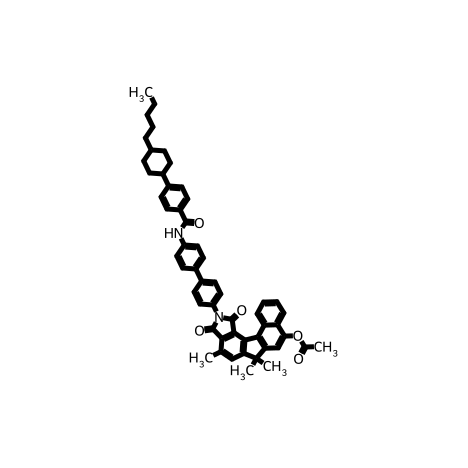 CCCCCC1CCC(c2ccc(C(=O)Nc3ccc(-c4ccc(N5C(=O)c6c(C)cc7c(c6C5=O)-c5c(cc(OC(C)=O)c6ccccc56)C7(C)C)cc4)cc3)cc2)CC1